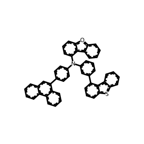 c1cc(-c2cccc3sc4ccccc4c23)cc(N(c2ccc(-c3cc4ccccc4c4ccccc34)cc2)c2cccc3oc4ccccc4c23)c1